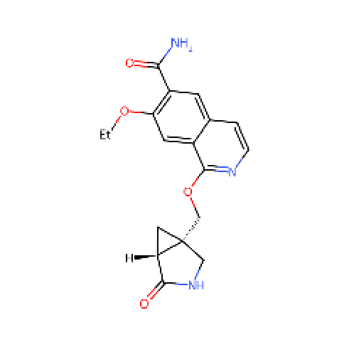 CCOc1cc2c(OC[C@]34CNC(=O)[C@@H]3C4)nccc2cc1C(N)=O